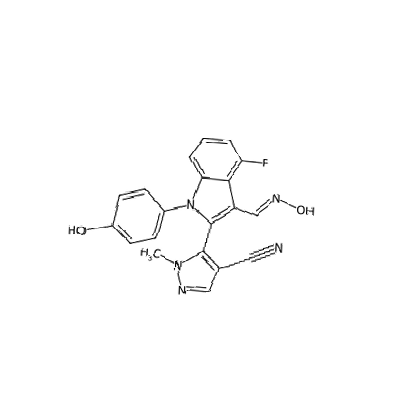 Cn1ncc(C#N)c1-c1c(C=NO)c2c(F)cccc2n1-c1ccc(O)cc1